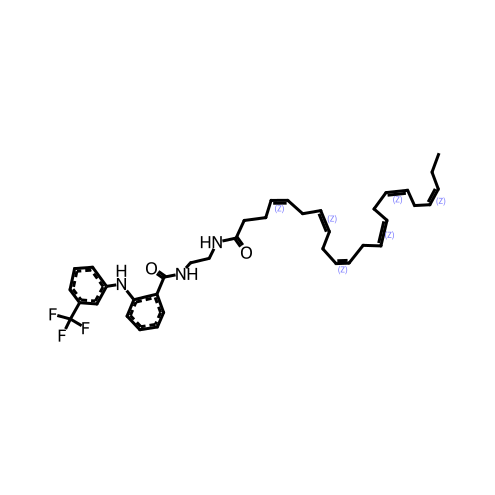 CC/C=C\C/C=C\C/C=C\C/C=C\C/C=C\C/C=C\CCC(=O)NCCNC(=O)c1ccccc1Nc1cccc(C(F)(F)F)c1